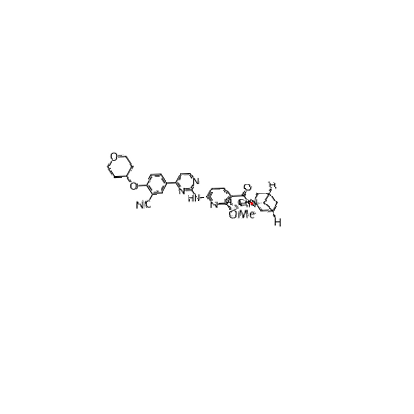 COc1nc(Nc2nccc(-c3ccc(OC4CCOCC4)c(C#N)c3)n2)ccc1C(=O)N[C@H]1[C@@H]2C[C@H]1CN(C)C2